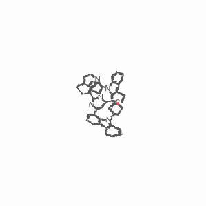 C1=c2ccncc2=C(c2nc(-c3cccc4c5ccccc5n(-c5ccccc5)c34)cc(-c3cccc4c5ccccc5n(-c5ccccc5)c34)n2)CC1